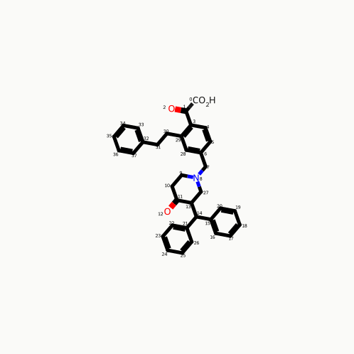 O=C(O)C(=O)c1ccc(CN2CCC(=O)C(C(c3ccccc3)c3ccccc3)C2)cc1CCc1ccccc1